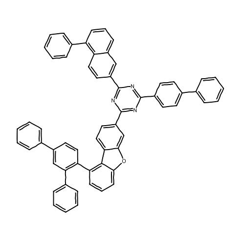 c1ccc(-c2ccc(-c3nc(-c4ccc5c(-c6ccccc6)cccc5c4)nc(-c4ccc5c(c4)oc4cccc(-c6ccc(-c7ccccc7)cc6-c6ccccc6)c45)n3)cc2)cc1